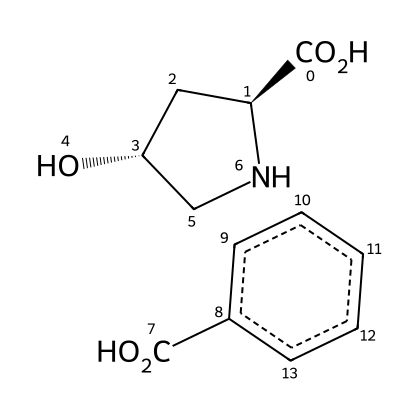 O=C(O)[C@@H]1C[C@@H](O)CN1.O=C(O)c1ccccc1